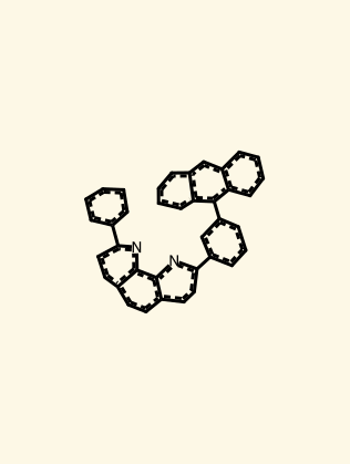 c1ccc(-c2ccc3ccc4ccc(-c5cccc(-c6c7ccccc7cc7ccccc67)c5)nc4c3n2)cc1